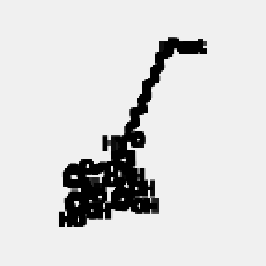 CCCCCC=CCC=CCCCCCCCC(=O)Nc1ccc(NC(=O)c2cccc(O)c2O)c(OCCOc2ccccc2NC(=O)c2cccc(O)c2O)c1